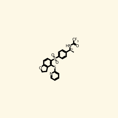 C[C@H](NC(=O)C(F)(F)F)c1ccc(S(=O)(=O)c2ccc3c(c2Sc2ccccn2)CCO3)cc1